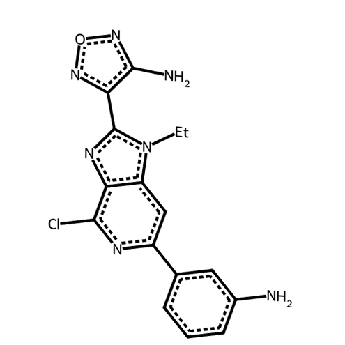 CCn1c(-c2nonc2N)nc2c(Cl)nc(-c3cccc(N)c3)cc21